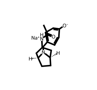 CC(=O)NC1C[C@H]2CC[C@@H](C1)N2Cc1ccc([O-])cc1.[Na+]